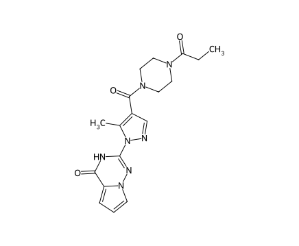 CCC(=O)N1CCN(C(=O)c2cnn(-c3nn4cccc4c(=O)[nH]3)c2C)CC1